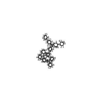 c1ccc(-c2ccc(N(c3ccc(-c4ccccc4)cc3)c3ccc(-c4ccc5c(c4)C4(c6ccccc6-c6ccccc64)c4cccc(-n6c7ccccc7c7ccccc76)c4-5)cc3)cc2)cc1